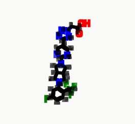 O=C(O)Cn1nnc(-c2cnc(N3CC4CN(c5cc(F)ccc5C(F)(F)F)CC4C3)nc2)n1